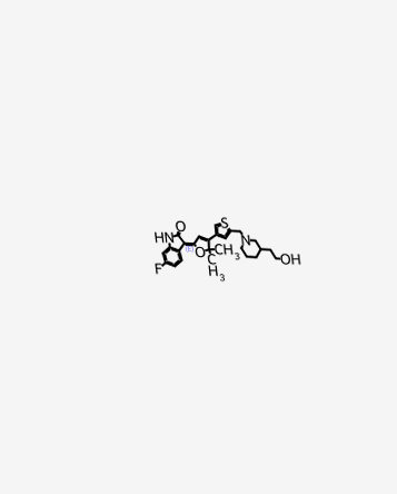 CC1(C)O/C(=C2/C(=O)Nc3cc(F)ccc32)C=C1c1csc(CN2CCCC(CCO)C2)c1